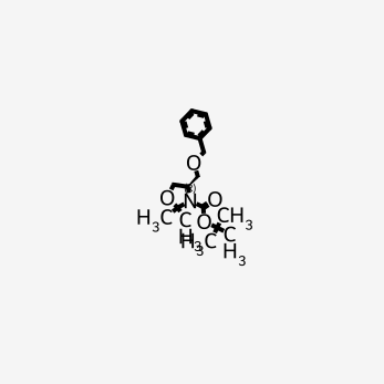 CC(C)(C)OC(=O)N1[C@H](COCc2ccccc2)COC1(C)C